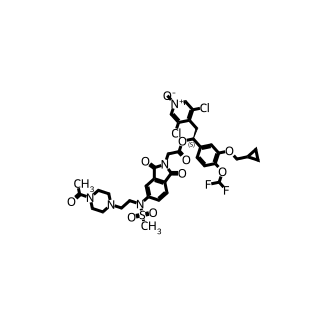 CC(=O)N1CCN(CCN(c2ccc3c(c2)C(=O)N(CC(=O)O[C@@H](Cc2c(Cl)c[n+]([O-])cc2Cl)c2ccc(OC(F)F)c(OCC4CC4)c2)C3=O)S(C)(=O)=O)CC1